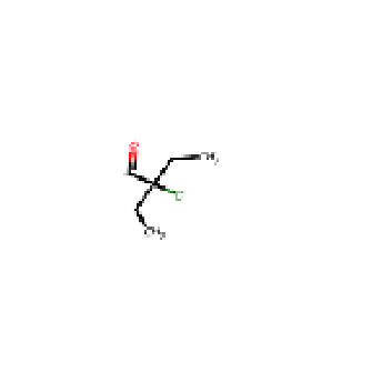 CCC(Cl)([C]=O)CC